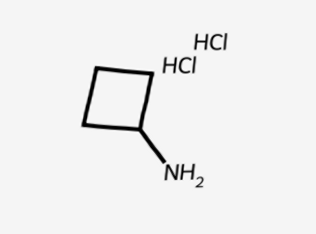 Cl.Cl.NC1CCC1